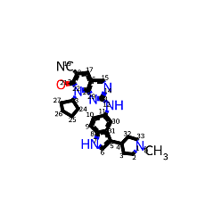 CN1CCC(c2c[nH]c3ccc(Nc4ncc5cc(C#N)c(=O)n(C6CCCC6)c5n4)cc23)CC1